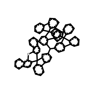 c1ccc(C2(c3ccccc3)c3ccccc3-c3ccc(C(c4ccc5c(c4)C4(c6ccccc6-5)c5ccc6ccccc6c5Oc5c4ccc4ccccc54)c4cccc5c4-c4ccccc4C54c5ccccc5-c5ccccc54)cc32)cc1